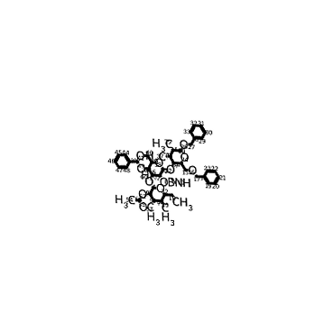 CCC1OC(O[C@@H]2C(OB=N)[C@H](O[C@@H]3C(COCc4ccccc4)O[C@@H](OCc4ccccc4)C(C)[C@H]3C)OC3COC(c4ccccc4)O[C@H]32)[C@@H](OC(C)=O)C(C)[C@H]1C